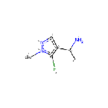 CC(N)c1cnn(C(C)(C)C)c1F